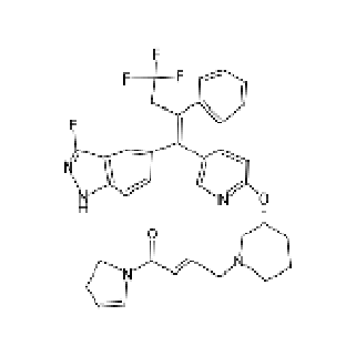 O=C(/C=C/CN1CCC[C@@H](Oc2ccc(/C(=C(/CC(F)(F)F)c3ccccc3)c3ccc4[nH]nc(F)c4c3)cn2)C1)N1C=CCC1